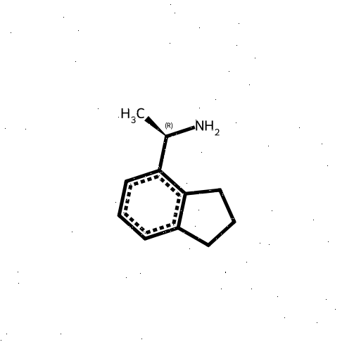 C[C@@H](N)c1cccc2c1CCC2